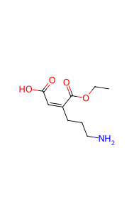 CCOC(=O)/C(=C\C(=O)O)CCCN